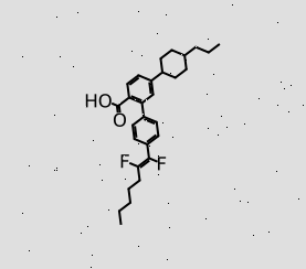 CCCCCC(F)=C(F)c1ccc(-c2cc(C3CCC(CCC)CC3)ccc2C(=O)O)cc1